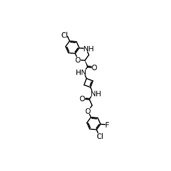 O=C(COc1ccc(Cl)c(F)c1)NC1=CC(NC(=O)[C@@H]2CNc3cc(Cl)ccc3O2)C1